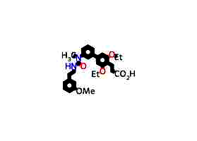 CCOc1cc(-c2cccc(N(C)C(=O)NCCc3cccc(OC)c3)c2)cc(OCC)c1CCC(=O)O